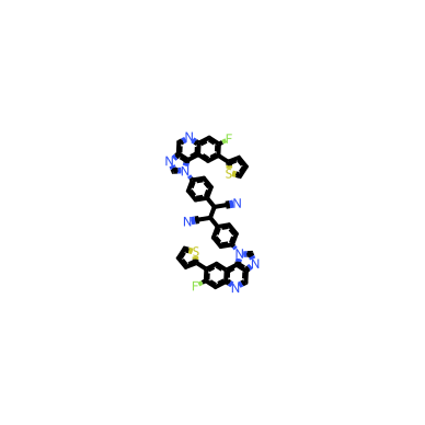 N#CC(c1ccc(-n2cnc3cnc4cc(F)c(-c5cccs5)cc4c32)cc1)C(C#N)c1ccc(-n2cnc3cnc4cc(F)c(-c5cccs5)cc4c32)cc1